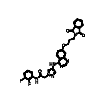 O=C(Cn1cc(Nc2ncnc3cc(OCCCN4C(=O)c5ccccc5C4=O)ccc23)cn1)Nc1cccc(F)c1F